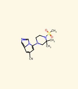 CC1(C)CN(c2cc(C#N)cc3cncn23)CCN1S(C)(=O)=O